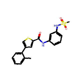 Cc1ccccc1-c1csc(C(=O)Nc2cccc(NS(C)(=O)=O)c2)c1